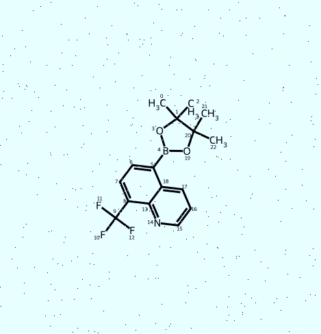 CC1(C)OB(c2ccc(C(F)(F)F)c3ncccc23)OC1(C)C